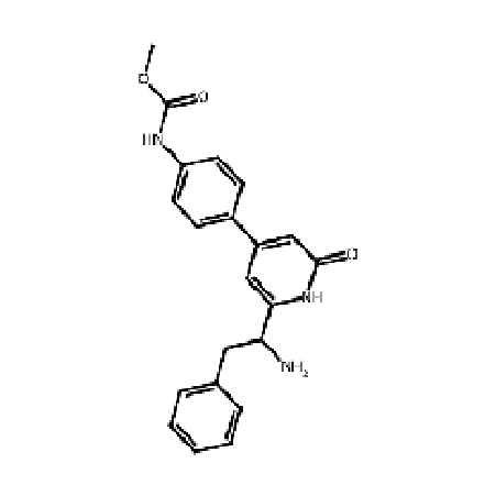 COC(=O)Nc1ccc(-c2cc(C(N)Cc3ccccc3)[nH]c(=O)c2)cc1